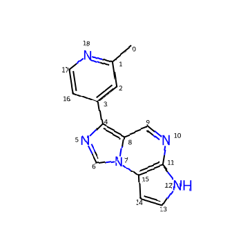 Cc1cc(-c2ncn3c2cnc2[nH]ccc23)ccn1